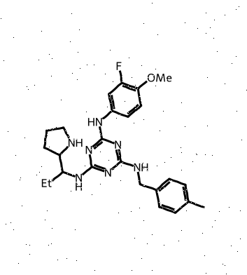 CCC(Nc1nc(NCc2ccc(C)cc2)nc(Nc2ccc(OC)c(F)c2)n1)C1CCCN1